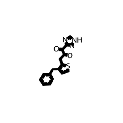 O=C(Cc1sccc1Cc1ccccc1)C(=O)c1nc[nH]n1